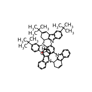 CC(C)(C)C1=Cc2c3n(c4ccc(C(C)(C)C)cc24)-c2cc(-n4c5c(c6ccccc64)C=CCC5n4c5ccccc5c5ccccc54)cc4c2[SH](c2cc(C(C)(C)C)ccc2O4)C3C1